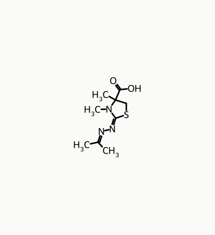 CC(C)=N/N=C1/SCC(C)(C(=O)O)N1C